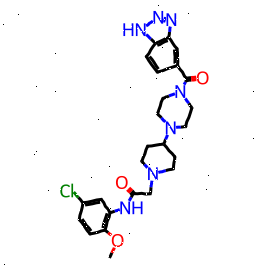 COc1ccc(Cl)cc1NC(=O)CN1CCC(N2CCN(C(=O)c3ccc4[nH]nnc4c3)CC2)CC1